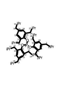 CC(C)Cc1cc(CC(C)C)c(OP(Oc2c(CC(C)C)cc(CC(C)C)cc2CC(C)C)Oc2c(CC(C)C)cc(CC(C)C)cc2CC(C)C)c(CC(C)C)c1